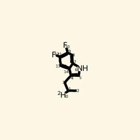 [2H]C(C)Cc1c[nH]c2cc(F)c(F)cc12